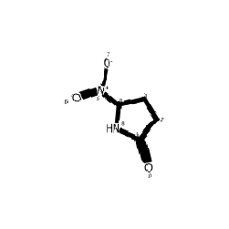 O=C1[CH]CC([N+](=O)[O-])N1